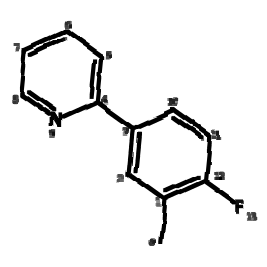 Cc1cc(-c2ccccn2)ccc1F